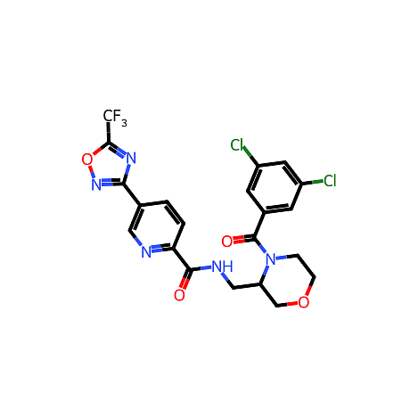 O=C(NCC1COCCN1C(=O)c1cc(Cl)cc(Cl)c1)c1ccc(-c2noc(C(F)(F)F)n2)cn1